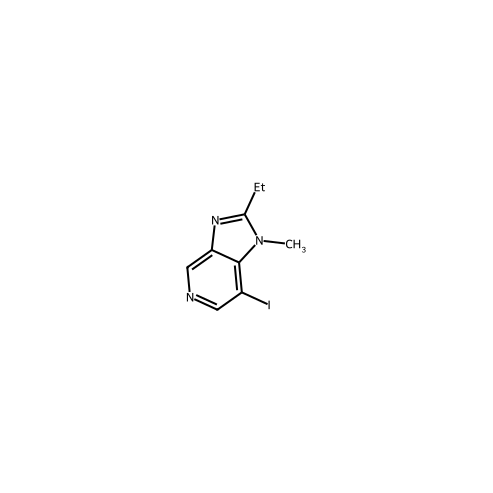 CCc1nc2cncc(I)c2n1C